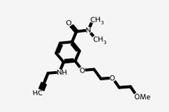 C#CCNc1ccc(C(=O)N(C)C)cc1OCCOCCOC